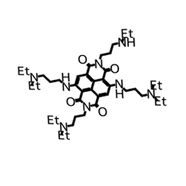 CCNCCCN1C(=O)c2cc(NCCCN(CC)CC)c3c4c(cc(NCCCN(CC)CC)c(c24)C1=O)C(=O)N(CCCN(CC)CC)C3=O